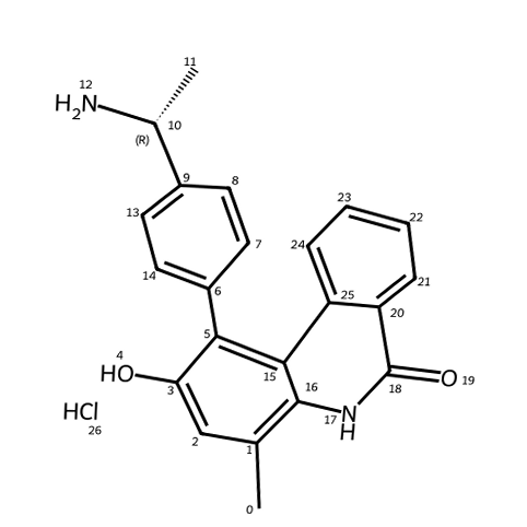 Cc1cc(O)c(-c2ccc([C@@H](C)N)cc2)c2c1[nH]c(=O)c1ccccc12.Cl